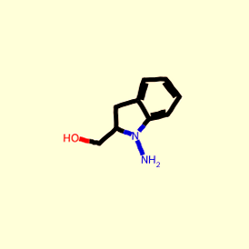 NN1c2ccccc2CC1CO